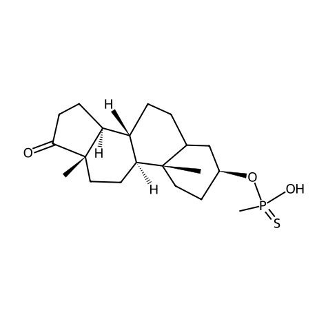 C[C@]12CC[C@H](OP(C)(O)=S)CC1CC[C@@H]1[C@@H]2CC[C@]2(C)C(=O)CC[C@@H]12